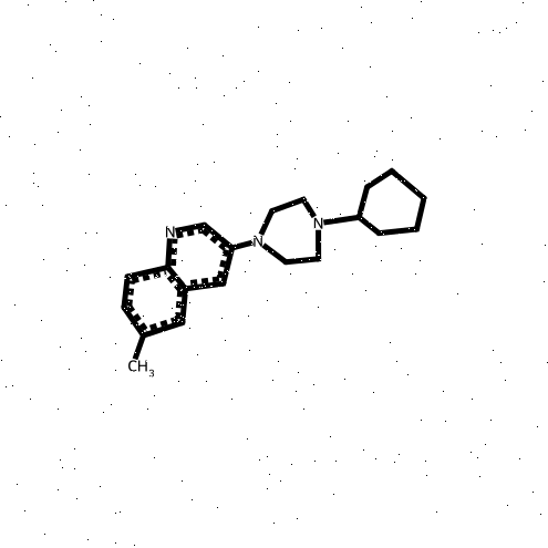 Cc1ccc2ncc(N3CCN(C4CCCCC4)CC3)cc2c1